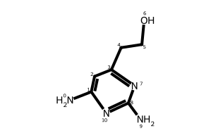 Nc1cc(CCO)nc(N)n1